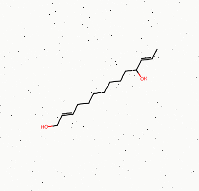 CC=CC(O)CCCCCCCC=CCO